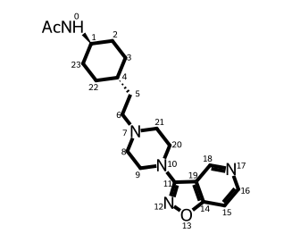 CC(=O)N[C@H]1CC[C@H](CCN2CCN(c3noc4ccncc34)CC2)CC1